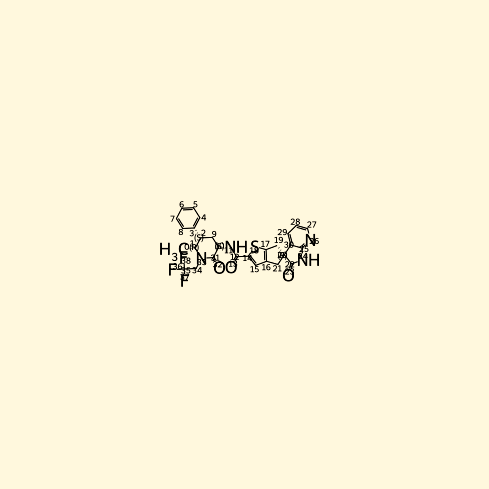 C[C@@H]1[C@H](c2ccccc2)C[C@H](NC(=O)c2cc3c(s2)C[C@@]2(C3)C(=O)Nc3ncccc32)C(=O)N1CC(F)(F)F